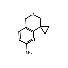 Nc1ccc2c(n1)C1(CC1)COC2